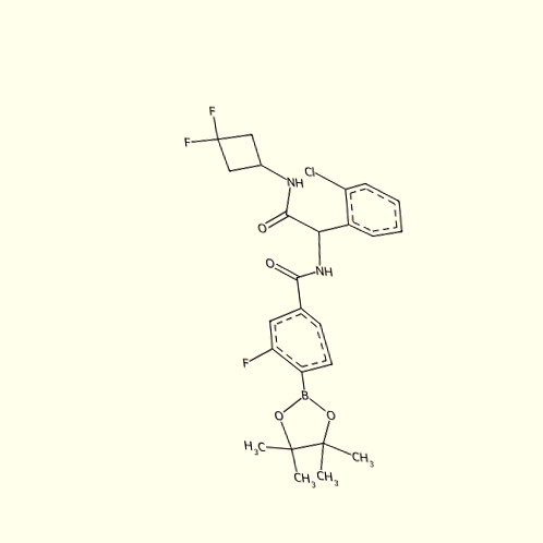 CC1(C)OB(c2ccc(C(=O)NC(C(=O)NC3CC(F)(F)C3)c3ccccc3Cl)cc2F)OC1(C)C